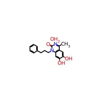 Cc1nc(=O)n(CCCc2ccccc2)c2cc(O)c(O)cc12.O